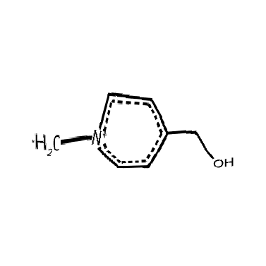 [CH2][n+]1ccc(CO)cc1